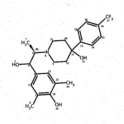 Cc1cc(C(O)[C@@H](C)N2CCC(O)(c3ccc(C(F)(F)F)cc3)CC2)cc(C)c1O